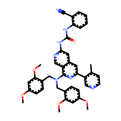 COc1ccc(CN(Cc2ccc(OC)cc2OC)c2nc(-c3cnccc3C)cc3cc(NC(=O)Nc4ccccc4C#N)ncc23)c(OC)c1